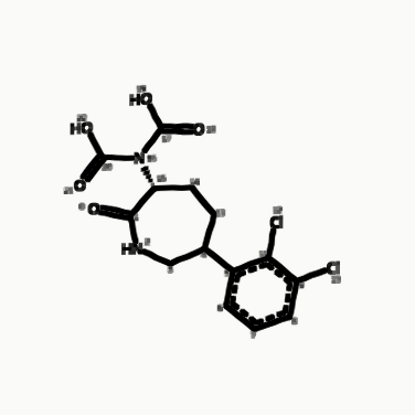 O=C1NCC(c2cccc(Cl)c2Cl)CC[C@H]1N(C(=O)O)C(=O)O